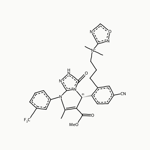 COC(=O)C1=C(C)N(c2cccc(C(F)(F)F)c2)c2n[nH]c(=O)n2[C@@H]1c1ccc(C#N)cc1CCC[N+](C)(C)c1ncon1